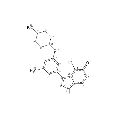 CCn1c(=O)ccc2[nH]cc(-c3cc(OC4CCC(C(F)(F)F)CC4)cc(C)n3)c21